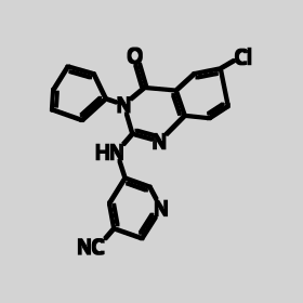 N#Cc1cncc(Nc2nc3ccc(Cl)cc3c(=O)n2-c2ccccc2)c1